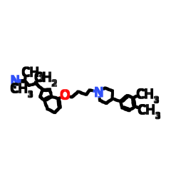 C=C(C/C(C)=N\C)C1=CC2=C(CCC=C2OCCCCN2CCC(c3ccc(C)c(C)c3)CC2)C1